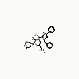 CC(C)(C)[C@H](c1nc(-c2ccccc2)cn1Cc1ccccc1)N(CC(F)CN)C(=O)ON1CCOCC1